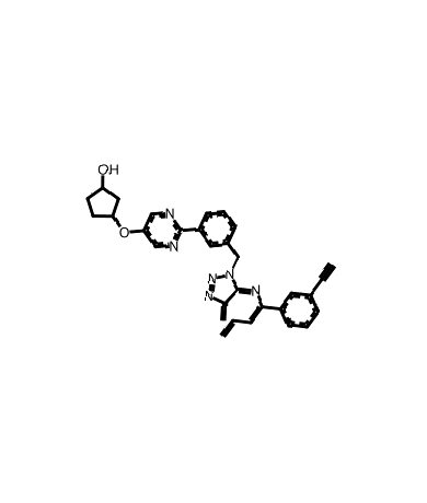 C#Cc1cccc(C(=C/C=C)/N=C2\C(=C)N=NN2Cc2cccc(-c3ncc(OC4CCC(O)C4)cn3)c2)c1